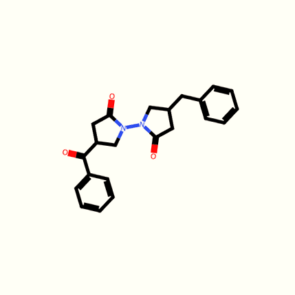 O=C(c1ccccc1)C1CC(=O)N(N2CC(Cc3ccccc3)CC2=O)C1